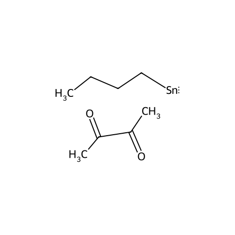 CC(=O)C(C)=O.CCC[CH2][Sn]